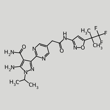 CC(C)n1nc(-c2ncc(CC(=O)Nc3cc(C(C)(C)C(F)(F)F)on3)cn2)c(C(N)=O)c1N